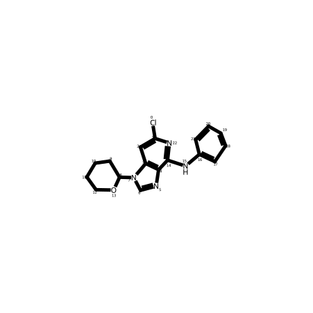 Clc1cc2c(ncn2C2CCCCO2)c(Nc2ccccc2)n1